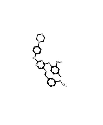 COc1cc(C)ccc1Oc1nc(Nc2ccc(N3CCOCC3)cc2)ncc1N=Cc1cccc(OC(F)(F)F)c1